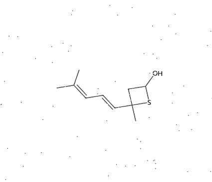 CC(C)=CC=CC1(C)CC(O)S1